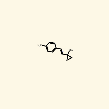 Cc1ccc(/C=C/C2(C(C)(C)C)CO2)cc1